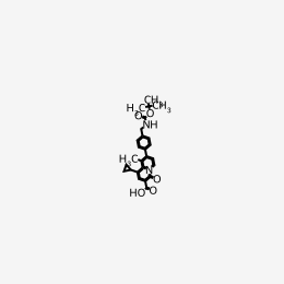 Cc1c(-c2ccc(CNC(=O)OC(C)(C)C)cc2)ccn2c(=O)c(C(=O)O)cc(C3CC3)c12